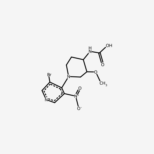 COC1CN(c2c(Br)cncc2[N+](=O)[O-])CCC1NC(=O)O